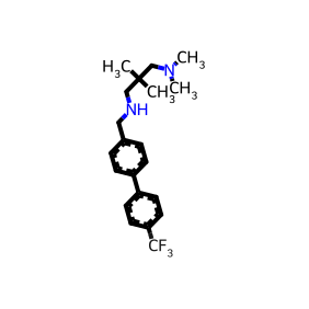 CN(C)CC(C)(C)CNCc1ccc(-c2ccc(C(F)(F)F)cc2)cc1